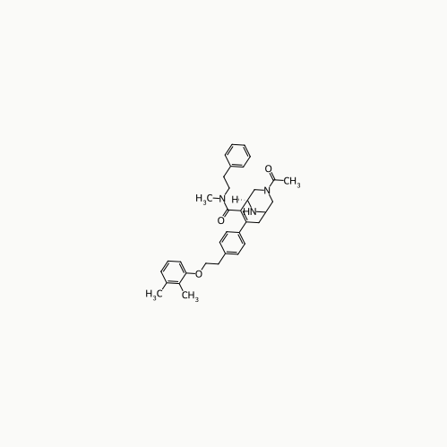 CC(=O)N1CC2CC(c3ccc(CCOc4cccc(C)c4C)cc3)=C(C(=O)N(C)CCc3ccccc3)[C@@H](C1)N2